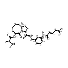 CN[C@@H](C)C(=O)N[C@H]1CCCC[C@H]2CC[C@@H](C(=O)NCc3cccc(NC(=O)/C=C/CN(C)C)c3)N2C1=O